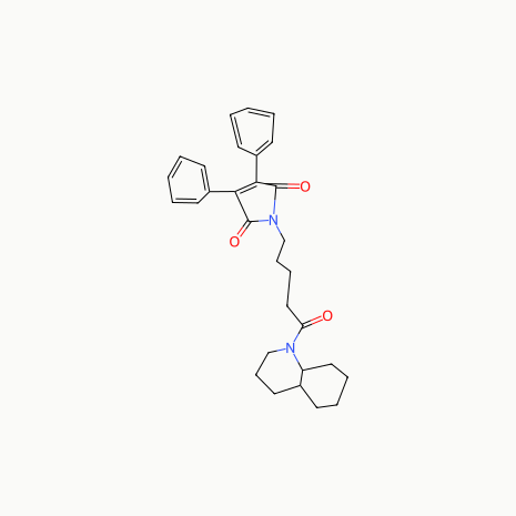 O=C1C(c2ccccc2)=C(c2ccccc2)C(=O)N1CCCCC(=O)N1CCCC2CCCCC21